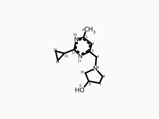 Cc1cc(CN2CCC(O)C2)nc(C2CC2)n1